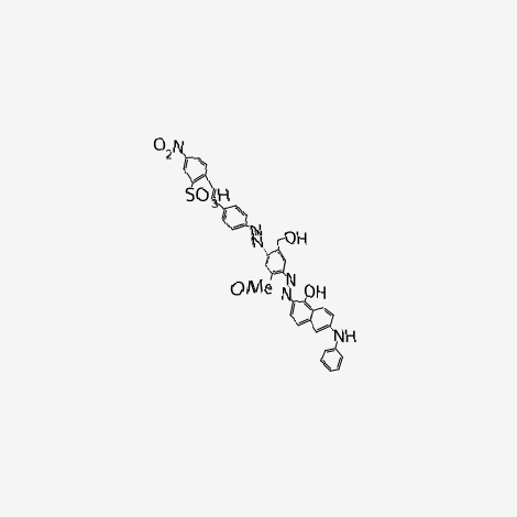 COc1cc(N=Nc2ccc(C=Cc3ccc([N+](=O)[O-])cc3S(=O)(=O)O)cc2)c(CO)cc1N=Nc1ccc2cc(Nc3ccccc3)ccc2c1O